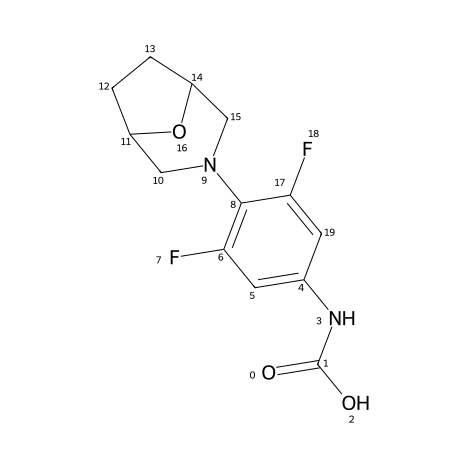 O=C(O)Nc1cc(F)c(N2CC3CCC(C2)O3)c(F)c1